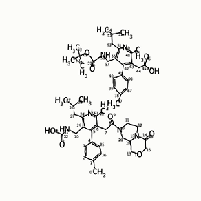 Cc1ccc(-c2c(CC(=O)N3CCN4C(=O)COCC4C3)c(C)nc(CC(C)C)c2CNC(=O)O)cc1.Cc1ccc(-c2c(CC(=O)O)c(C)nc(CC(C)C)c2CNC(=O)OC(C)(C)C)cc1